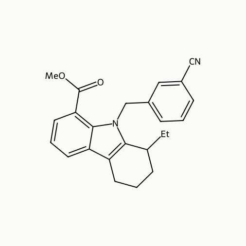 CCC1CCCc2c1n(Cc1cccc(C#N)c1)c1c(C(=O)OC)cccc21